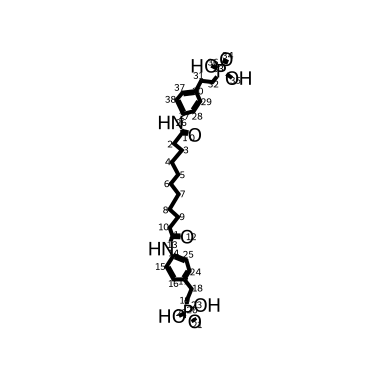 O=C(CCCCCCCCCC(=O)Nc1ccc(CCP(=O)(O)O)cc1)Nc1ccc(CCP(=O)(O)O)cc1